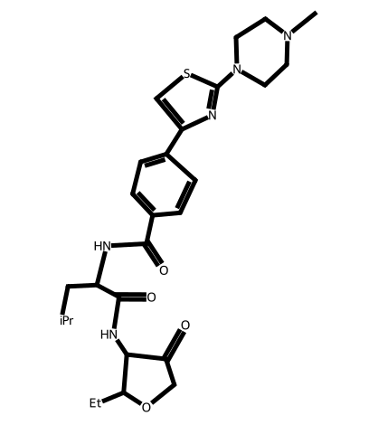 CCC1OCC(=O)C1NC(=O)C(CC(C)C)NC(=O)c1ccc(-c2csc(N3CCN(C)CC3)n2)cc1